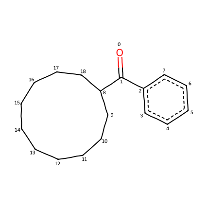 O=C(c1ccccc1)C1CCCCCCCCCC1